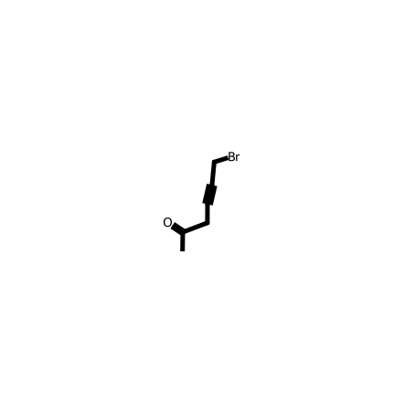 CC(=O)CC#CCBr